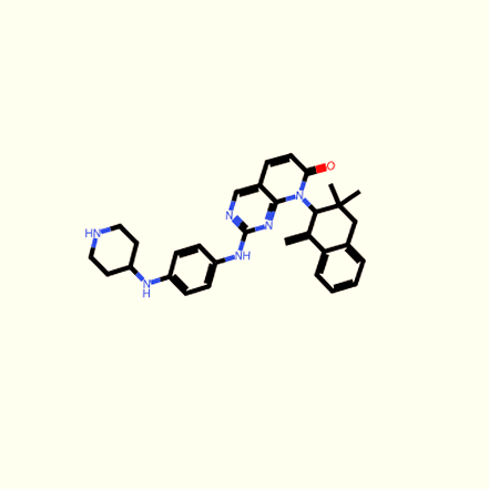 C=C1c2ccccc2CC(C)(C)C1n1c(=O)ccc2cnc(Nc3ccc(NC4CCNCC4)cc3)nc21